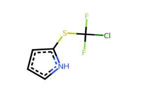 FC(F)(Cl)Sc1ccc[nH]1